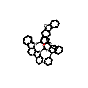 c1ccc(-c2cccc(-c3cccc(-n4c5ccccc5c5ccc6c7ccccc7n(-c7nc(-c8ccccc8)nc(-c8ccc9oc%10ccccc%10c9c8)n7)c6c54)c3)c2)cc1